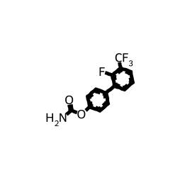 NC(=O)Oc1ccc(-c2cccc(C(F)(F)F)c2F)cc1